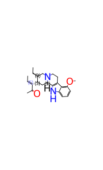 C/C=C(/C(C)=O)[C@H]1C[C@H]2c3[nH]c4cccc(OC)c4c3CCN2C[C@@H]1CC